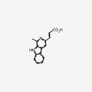 Cc1nc(/C=C/C(=O)O)cc2c1[nH]c1ccccc12